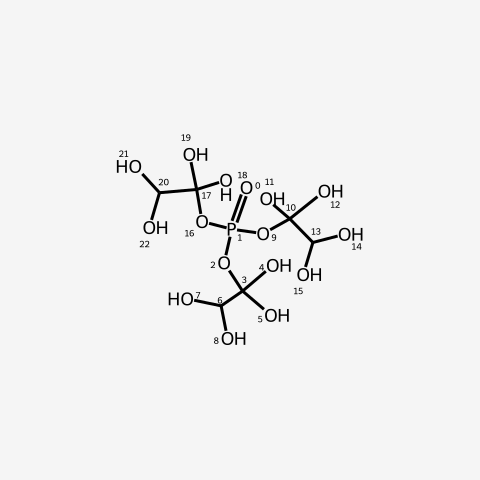 O=P(OC(O)(O)C(O)O)(OC(O)(O)C(O)O)OC(O)(O)C(O)O